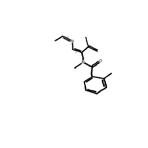 C=C(C)/C(=C\N=C/C)N(C)C(=O)c1ccccc1C